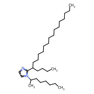 CCCCCCCCCCCCCCCC(CCCC)c1nccn1C(C)CCCCCC